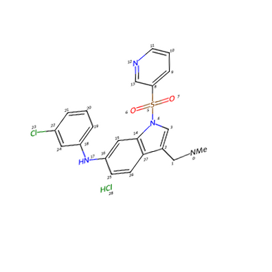 CNCc1cn(S(=O)(=O)c2cccnc2)c2cc(Nc3cccc(Cl)c3)ccc12.Cl